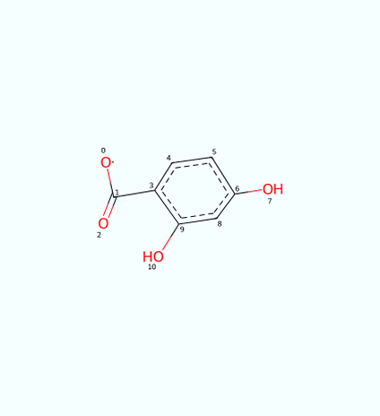 [O]C(=O)c1ccc(O)cc1O